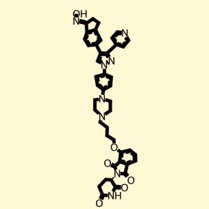 O=C1CC[C@H](N2C(=O)c3cccc(OCCCCN4CCN(c5ccc(-n6cc(-c7ccc8c(c7)CC/C8=N\O)c(-c7ccncc7)n6)cc5)CC4)c3C2=O)C(=O)N1